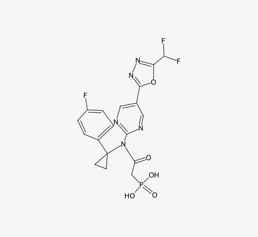 O=C(CP(=O)(O)O)N(c1ncc(-c2nnc(C(F)F)o2)cn1)C1(c2ccc(F)cc2)CC1